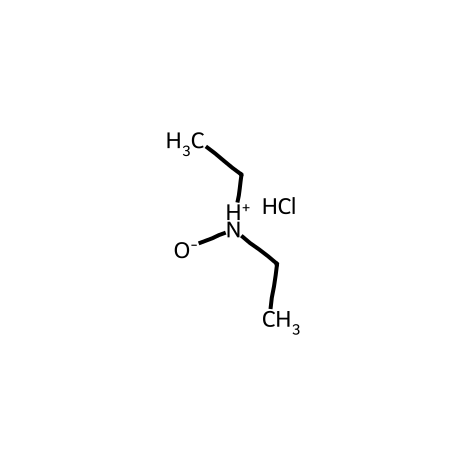 CC[NH+]([O-])CC.Cl